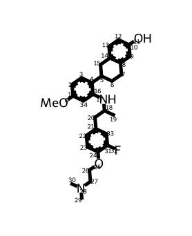 COc1ccc(C2CCc3cc(O)ccc3C2)c(NC(C)Cc2ccc(OCCN(C)C)c(F)c2)c1